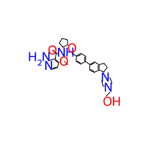 COc1ccnc(N)c1C(=O)N[C@H]1CCC[C@@H]1OCc1ccc(-c2ccc3c(c2)CC[C@@H]3N2CCN(CCO)CC2)cc1